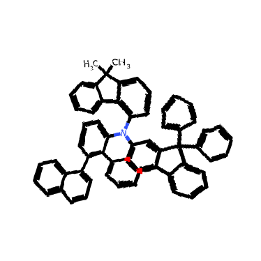 CC1(C)c2ccccc2-c2c(N(c3ccc4c(c3)C(c3ccccc3)(c3ccccc3)c3ccccc3-4)c3cccc(-c4cccc5ccccc45)c3-c3ccccc3)cccc21